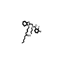 CCCCCC(=N)CC=CCn1c(CN(CCCC)C(=O)c2cccc(F)c2F)nc2ccccc21